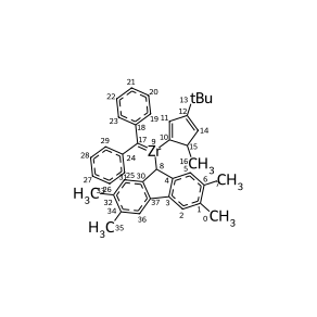 Cc1cc2c(cc1C)[CH]([Zr]([C]1=CC(C(C)(C)C)=CC1C)=[C](c1ccccc1)c1ccccc1)c1cc(C)c(C)cc1-2